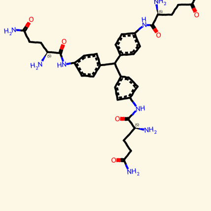 NC(=O)CC[C@H](N)C(=O)Nc1ccc(C(c2ccc(NC(=O)[C@@H](N)CCC(N)=O)cc2)c2ccc(NC(=O)[C@@H](N)CCC(N)=O)cc2)cc1